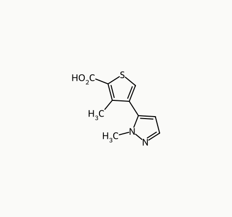 Cc1c(-c2ccnn2C)csc1C(=O)O